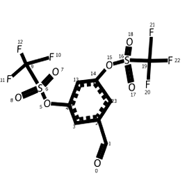 O=Cc1cc(OS(=O)(=O)C(F)(F)F)cc(OS(=O)(=O)C(F)(F)F)c1